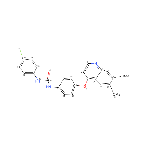 COc1cc2nccc(Oc3ccc(NC(=O)Nc4ccc(F)cc4)cc3)c2cc1OC